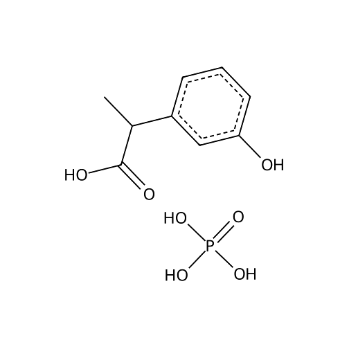 CC(C(=O)O)c1cccc(O)c1.O=P(O)(O)O